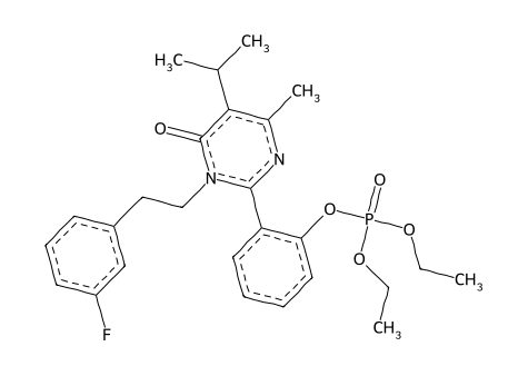 CCOP(=O)(OCC)Oc1ccccc1-c1nc(C)c(C(C)C)c(=O)n1CCc1cccc(F)c1